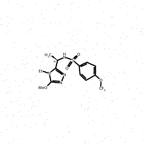 CCn1c(OC)nnc1[C@@H](C)NS(=O)(=O)c1ccc(OC(F)(F)F)cc1